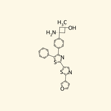 C[C@]1(O)C[C@@](N)(c2ccc(-c3nc(-c4cnc(-c5ccoc5)s4)sc3-c3ccccc3)cc2)C1